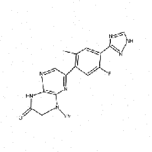 Cc1cc(-c2nc[nH]n2)c(F)cc1-c1cnc2c(n1)N(C(C)C)CC(=O)N2